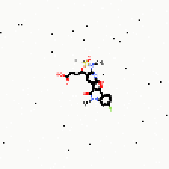 CNC(=O)c1c(-c2ccc(F)cc2)oc2nc(N(C)S(C)(=O)=O)c(CCCC(=O)O)cc12